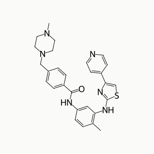 Cc1ccc(NC(=O)c2ccc(CN3CCN(C)CC3)cc2)cc1Nc1nc(-c2ccncc2)cs1